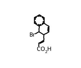 O=C(O)C=CC1C=Cc2ccccc2C1Br